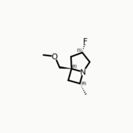 COC[C@@]12C[C@H](F)CN1[C@H](C)C2